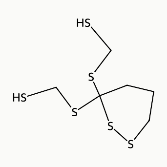 SCSC1(SCS)CCCSS1